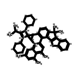 Cc1cc(C)c2c(C)cc3[n+](c2c1)C1C(c2ccc4c(c2-3)-c2sc3ccccc3c2C4(C)C)C12N(C1CCCCC1)C(C(C)C)=[N+]2C1CCCCC1